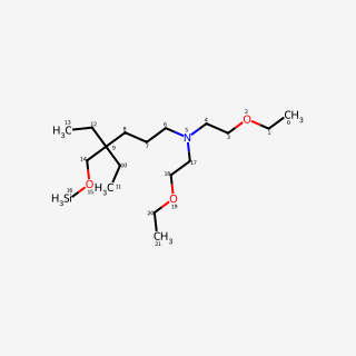 CCOCCN(CCCC(CC)(CC)CO[SiH3])CCOCC